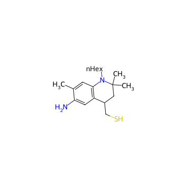 CCCCCCN1c2cc(C)c(N)cc2C(CS)CC1(C)C